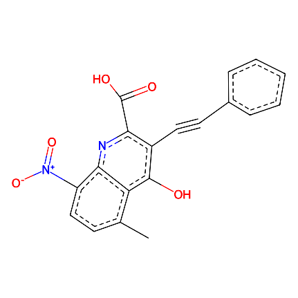 Cc1ccc([N+](=O)[O-])c2nc(C(=O)O)c(C#Cc3ccccc3)c(O)c12